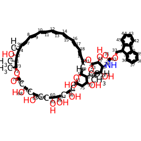 C[C@@H]1[C@H](O)[C@@H](C)/C=C/C=C/C=C/C=C/C=C/C=C/C=C/[C@H](O[C@@H]2O[C@H](C)[C@@H](O)[C@H](NC(=O)OCC3c4ccccc4-c4ccccc43)[C@@H]2O)C[C@@H]2O[C@](O)(C[C@@H](O)C[C@@H](O)[C@H](O)CC[C@@H](O)C[C@@H](O)CC(=O)O[C@H]1C)C[C@H](O)[C@H]2C(=O)O